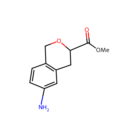 COC(=O)C1Cc2cc(N)ccc2CO1